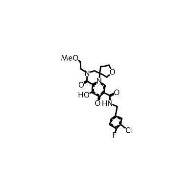 COCCN1CC2(CCOC2)n2cc(C(=O)NCc3ccc(F)c(Cl)c3)c(=O)c(O)c2C1=O